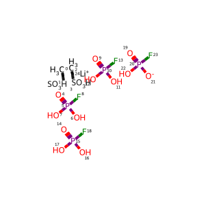 CS(=O)(=O)O.CS(=O)(=O)O.O=P(O)(O)F.O=P(O)(O)F.O=P(O)(O)F.O=P([O-])(O)F.[Li+]